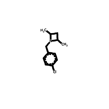 CC1CC(C)N1Cc1ccc(Cl)cc1